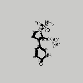 NS(=O)(=O)n1ccc(-c2ccc(=O)[nH]c2)c1C(=O)[O-].[Na+]